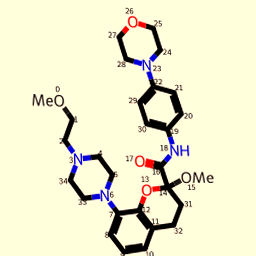 COCCN1CCN(c2cccc3c2OC(OC)(C(=O)Nc2ccc(N4CCOCC4)cc2)CC3)CC1